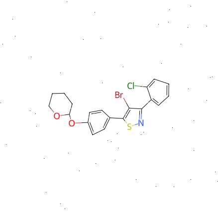 Clc1ccccc1-c1nsc(-c2ccc(OC3CCCCO3)cc2)c1Br